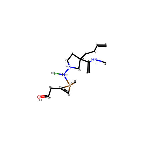 C=CCCC1(C(=C)NC)CCN(N(F)S2(C)C=C2CC=O)C1